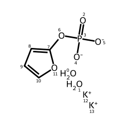 O.O.O=P([O-])([O-])Oc1ccco1.[K+].[K+]